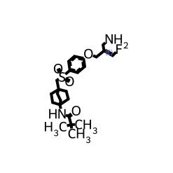 CC(C)(C)C(=O)NC12CCC(CS(=O)(=O)c3ccc(OC/C(=C/F)CN)cc3)(CC1)CC2